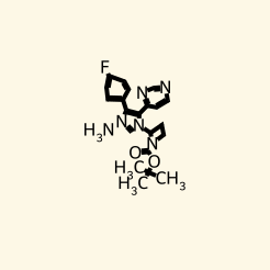 CC(C)(C)OC(=O)N1CCC1n1cnc(-c2ccc(F)cc2)c1-c1ccncn1.N